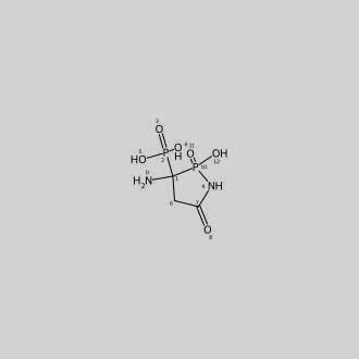 NC1(P(=O)(O)O)CC(=O)NP1(=O)O